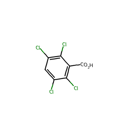 O=C(O)c1c(Cl)c(Cl)cc(Cl)c1Cl